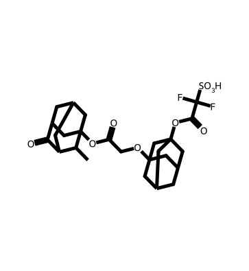 CC1C2CC3CC(CC1(OC(=O)COC14CC5CC(C1)CC(OC(=O)C(F)(F)S(=O)(=O)O)(C5)C4)C3)C2=O